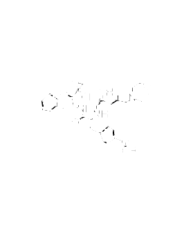 COc1ccc(C[C@H](NC[C@H](C)/C=C(\F)CN2CCOCC2)C(=O)N[C@@H](Cc2ccccc2)C(=O)[C@]2(C)CO2)cc1